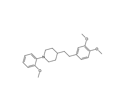 COc1ccc(CCC2CCN(c3ccccc3OC)CC2)cc1OC